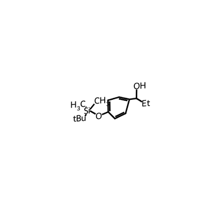 CCC(O)c1ccc(O[Si](C)(C)C(C)(C)C)cc1